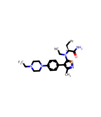 Cc1nsc(N(CC#N)[C@@H](CC(C)C)C(N)=O)c1-c1ccc(N2CCN(CC(F)(F)F)CC2)cc1